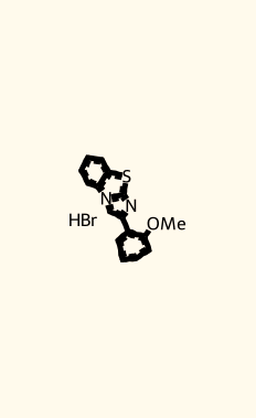 Br.COc1ccccc1-c1cn2c(n1)sc1ccccc12